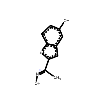 C/C(=N\O)c1cc2cc(O)ccc2s1